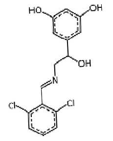 Oc1cc(O)cc(C(O)CN=Cc2c(Cl)cccc2Cl)c1